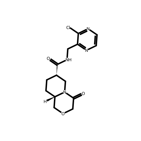 O=C(NCc1nccnc1Cl)[C@H]1CC[C@H]2COCC(=O)N2C1